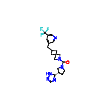 O=C(N1CC[C@H](c2ncn[nH]2)C1)N1CC2(CC(Cc3cncc(C(F)(F)F)c3)C2)C1